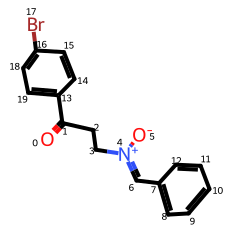 O=C(CC[N+]([O-])=Cc1ccccc1)c1ccc(Br)cc1